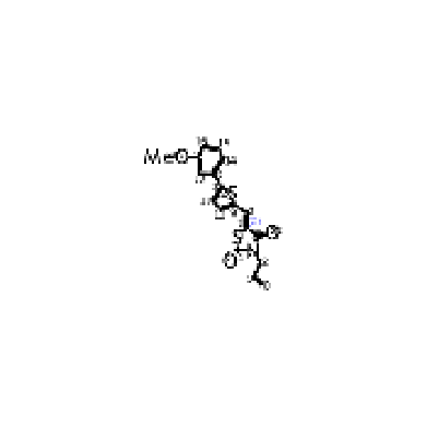 C=CCN1C(=O)S/C(=C\c2ccc(-c3cccc(OC)c3)s2)C1=O